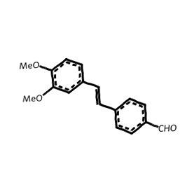 COc1ccc(C=Cc2ccc(C=O)cc2)cc1OC